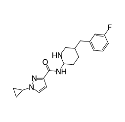 O=C(NC1CCC(Cc2cccc(F)c2)CN1)c1ccn(C2CC2)n1